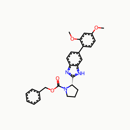 COc1ccc(-c2ccc3nc([C@@H]4CCCN4C(=O)OCc4ccccc4)[nH]c3c2)c(OC)c1